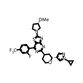 CO[C@H]1CCN(c2nc3nc(C4CCO[C@@H](c5cnn(C6CC6)c5)C4)nc(-c4ccc(C(F)(F)F)cc4F)c3s2)C1